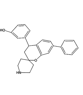 Oc1cccc(C2CC3(CCNCC3)Oc3cc(-c4ccccc4)ccc32)c1